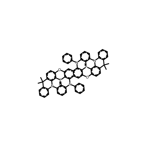 CC1(C)c2ccccc2N2c3cccc4c3P3(=S)c5c(ccc1c52)Oc1cc2c5c6c(cc2c(c13)N4c1ccccc1)Oc1ccc2c3c1P6(=S)c1c(cccc1N5c1ccccc1)N3c1ccccc1C2(C)C